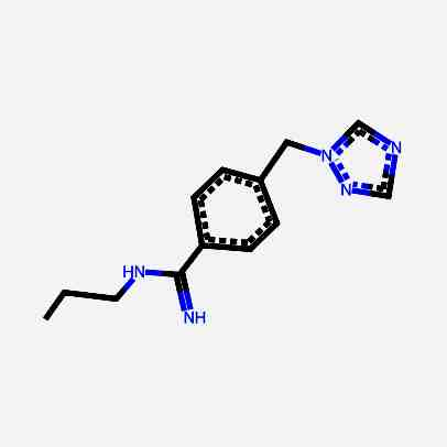 CCCNC(=N)c1ccc(Cn2cncn2)cc1